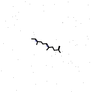 C=C(C)CC/C(C)=C/CC/C(C)=C/C